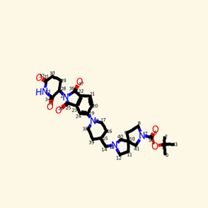 CC(C)(C)OC(=O)N1CCC2(CCN(CC3CCN(c4ccc5c(c4)C(=O)N(C4CCC(=O)NC4=O)C5=O)CC3)C2)C1